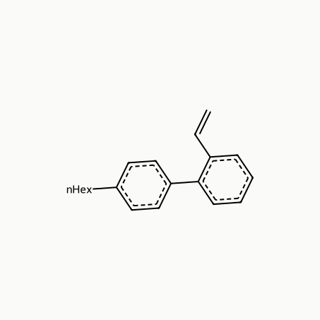 C=Cc1ccccc1-c1ccc(CCCCCC)cc1